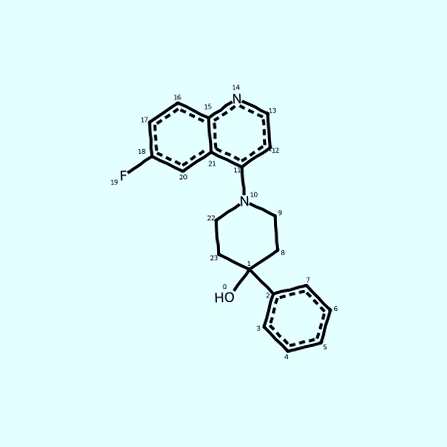 OC1(c2ccccc2)CCN(c2[c]cnc3ccc(F)cc23)CC1